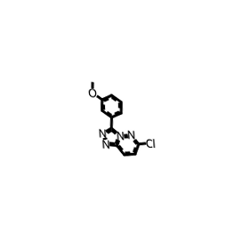 COc1cccc(-c2nnc3ccc(Cl)nn23)c1